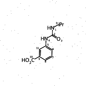 CC(C)NC(=O)Nc1cccc(C(=O)O)c1